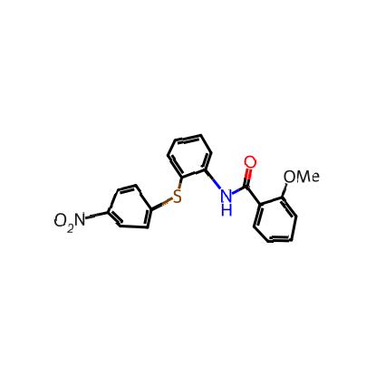 COc1ccccc1C(=O)Nc1ccccc1Sc1ccc([N+](=O)[O-])cc1